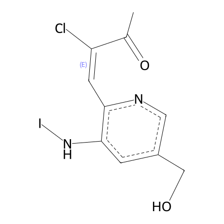 CC(=O)/C(Cl)=C\c1ncc(CO)cc1NI